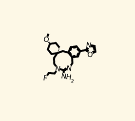 CO[C@H]1CC[C@]2(CCN(CCF)/C(N)=N\Cc3cc(-c4ncco4)ccc3C2)CC1